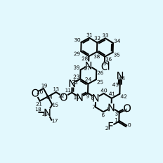 C=C(F)C(=O)N1CCN(c2nc(OCC3(CN(C)C)COC3)nc3c2CCN(c2cccc4cccc(Cl)c24)C3)CC1CC#N